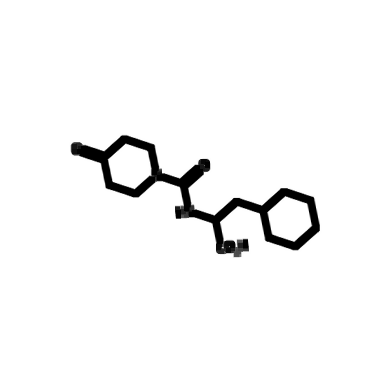 O=C1CCN(C(=O)NC(CC2CCCCC2)C(=O)O)CC1